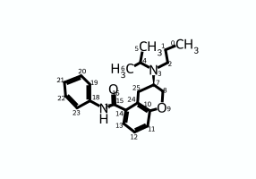 CCCN(C(C)C)[C@H]1COc2cccc(C(=O)Nc3ccccc3)c2C1